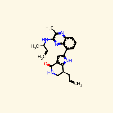 C=CC[C@H]1CNC(=O)c2cc(-c3cccc4nc(C)c(N[C@@H](C)C=C)nc34)[nH]c21